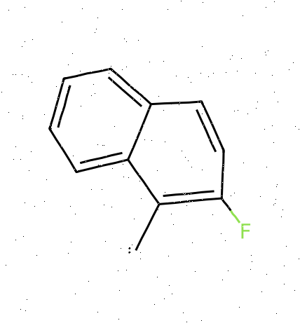 [CH]c1c(F)ccc2ccccc12